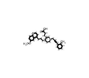 COc1ccc2nccc(CCC[C@@H]3CCN(CC#Cc4ccccc4C)C[C@@H]3CCC(=O)O)c2c1